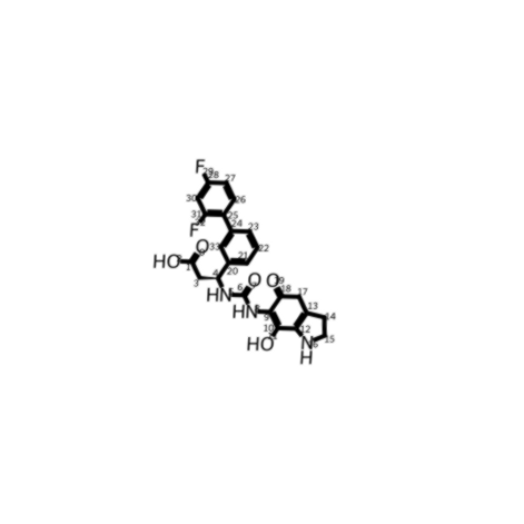 O=C(O)C[C@H](NC(=O)NC1=C(O)C2=C(CCN2)CC1=O)c1cccc(-c2ccc(F)cc2F)c1